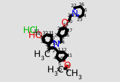 Cc1c(-c2ccc(OC(C)C)cc2)n(Cc2ccc(OCCN3CCCCC3)cc2)c2ccc(O)cc12.Cl